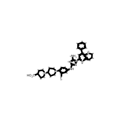 Nc1nc(Nc2ccc(N3CCC(N4CCC(C(=O)O)CC4)CC3)c(F)c2)nn1-c1cc(-c2ccccc2)c2c(n1)C1CCN2CC1